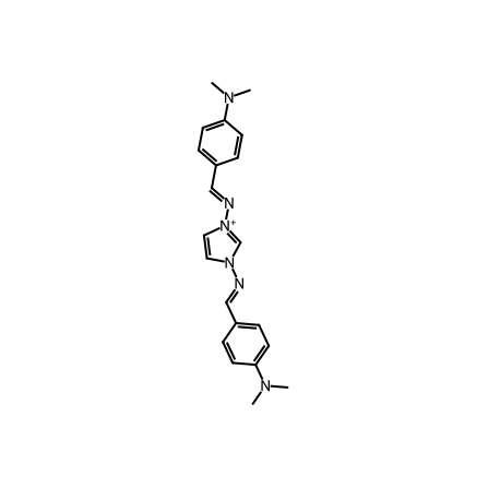 CN(C)c1ccc(/C=N/n2cc[n+](/N=C/c3ccc(N(C)C)cc3)c2)cc1